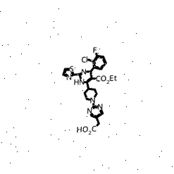 CCOC(=O)C1=C(C2CCN(c3ncc(CC(=O)O)cn3)CC2)NC(c2nccs2)=NC1c1cccc(F)c1Cl